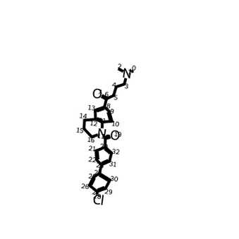 CN(C)CCCC(=O)c1ccc2c(c1)CCCN2C(=O)c1ccc(-c2ccc(Cl)cc2)cc1